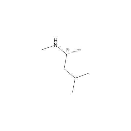 CN[C@H](C)CC(C)C